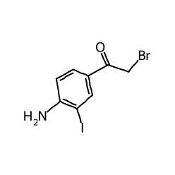 Nc1ccc(C(=O)CBr)cc1I